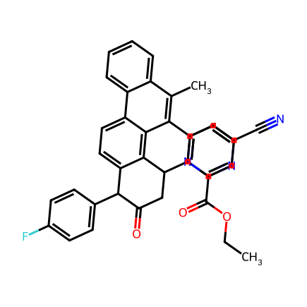 CCOC(=O)c1nccc(-c2c(C)c3ccccc3c3ccc4c(c23)C(c2ccc(C#N)cc2)CC(=O)C4c2ccc(F)cc2)n1